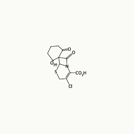 O=C(O)C1=C(Cl)CS[C@@H]2N1C(=O)C21C(=O)CCCC1=O